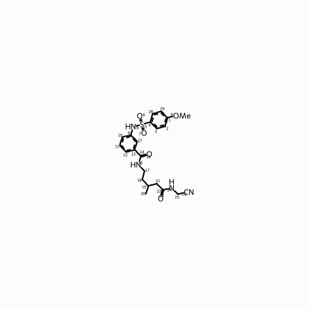 COc1ccc(S(=O)(=O)Nc2cccc(C(=O)NCCC(C)CC(=O)NCC#N)c2)cc1